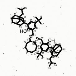 CC(C)CC12CC3CC(C1)CC(c1cc(C(C)(C)C)cc(CSC4CCCCCC[C@@H]4SCc4cc(C(C)(C)C)cc(C56CC7CC(CC(CC(C)C)(C7)C5)C6)c4O)c1O)(C3)C2